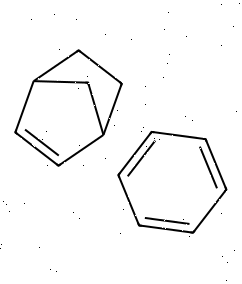 C1=CC2CCC1C2.c1ccccc1